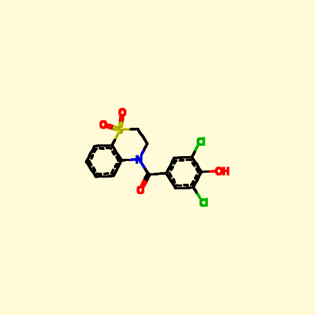 O=C(c1cc(Cl)c(O)c(Cl)c1)N1CCS(=O)(=O)c2ccccc21